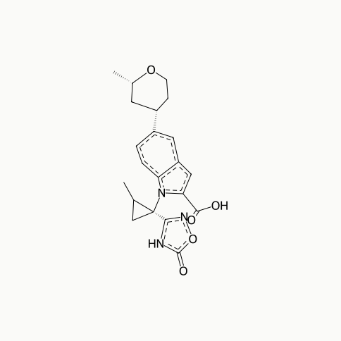 CC1C[C@]1(c1noc(=O)[nH]1)n1c(C(=O)O)cc2cc([C@H]3CCO[C@@H](C)C3)ccc21